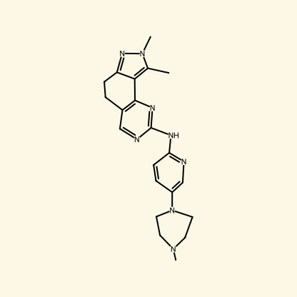 Cc1c2c(nn1C)CCc1cnc(Nc3ccc(N4CCN(C)CC4)cn3)nc1-2